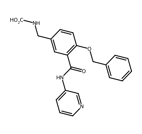 O=C(O)NCc1ccc(OCc2ccccc2)c(C(=O)Nc2cccnc2)c1